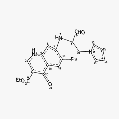 CCOC(=O)c1c[nH]c2cc(NC(C=O)Cn3cccc3)c(F)cc2c1=O